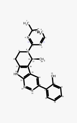 C/C=N\C(=N/C(C)C)N1CCc2[nH]c3nnc(-c4ccccc4O)cc3c2[C@@H]1C